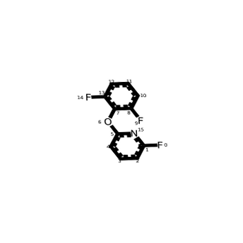 Fc1cccc(Oc2c(F)cccc2F)n1